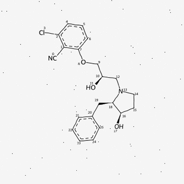 N#Cc1c(Cl)cccc1OC[C@H](O)CN1CC[C@@H](O)[C@H]1Cc1ccccc1